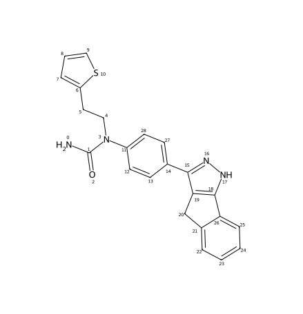 NC(=O)N(CCc1cccs1)c1ccc(-c2n[nH]c3c2Cc2ccccc2-3)cc1